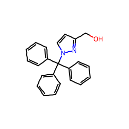 OCc1ccn(C(c2ccccc2)(c2ccccc2)c2ccccc2)n1